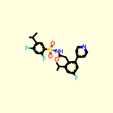 CC(C)c1cc(S(=O)(=O)NC(=O)Cc2c(-c3ccncc3)cc(F)cc2C(C)C)c(F)cc1F